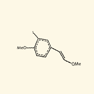 COC=Cc1ccc(OC)c(I)c1